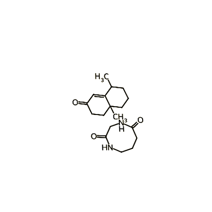 CC1CCCC2(C)CCC(=O)C=C12.O=C1CCCNC(=O)CN1